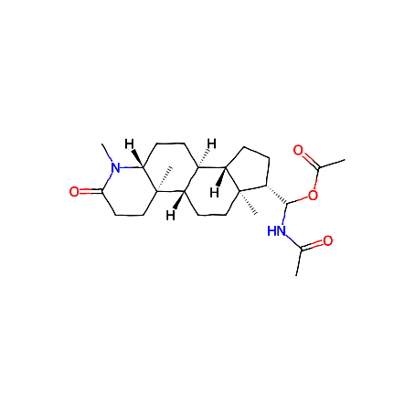 CC(=O)NC(OC(C)=O)[C@H]1CC[C@H]2[C@@H]3CC[C@H]4N(C)C(=O)CC[C@]4(C)[C@H]3CC[C@]12C